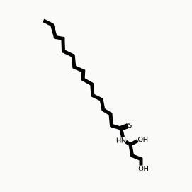 CCCCCCCCCCCCCCCC(=S)NC(O)CCO